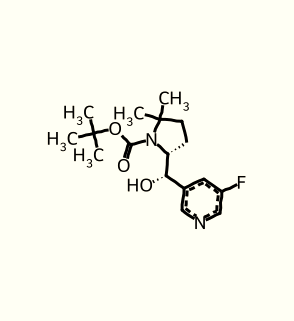 CC(C)(C)OC(=O)N1[C@@H]([C@@H](O)c2cncc(F)c2)CCC1(C)C